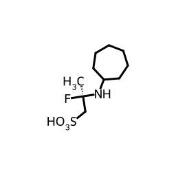 C[C@@](F)(CS(=O)(=O)O)NC1CCCCCC1